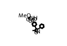 COC(=O)NS(=O)(=O)c1ccc(-c2c(-c3ccccc3)noc2C)cc1